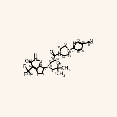 CC1(C)CN(C2CCc3c2n[nH]c(=O)c3C(F)(F)F)C[C@@H](C(=O)N2CCN(c3ccc(C#N)cn3)CC2)O1